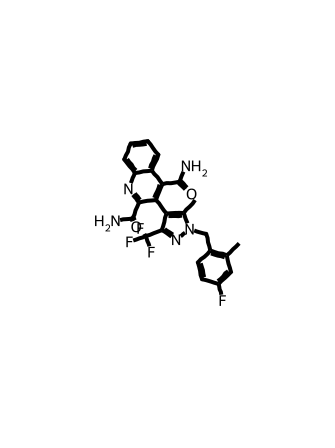 Cc1cc(F)ccc1Cn1nc(C(F)(F)F)c(-c2c(C(N)=O)nc3ccccc3c2C(N)=O)c1C